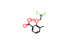 Cc1cccc(C(=O)O)c1OCC(F)F